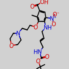 Cc1c(C(=O)O)cc([N+](=O)[O-])c(NCC=CCNC(=O)OC(C)(C)C)c1OCCCN1CCOCC1